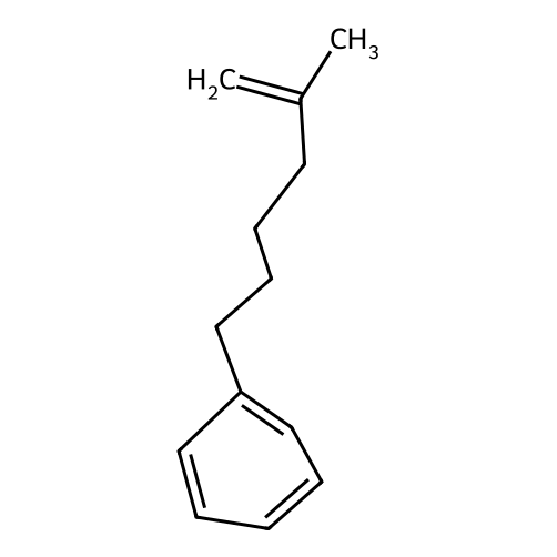 C=C(C)CCCCc1ccccc1